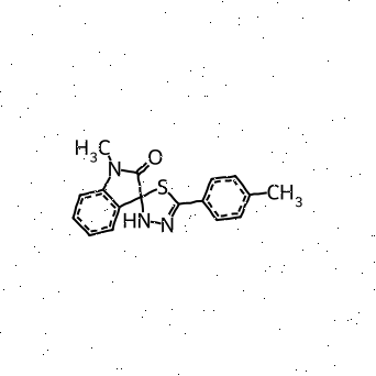 Cc1ccc(C2=NNC3(S2)C(=O)N(C)c2ccccc23)cc1